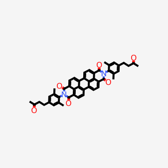 CC(=O)CCc1cc(C)c(N2C(=O)c3ccc4c5ccc6c7c(ccc(c8ccc(c3c48)C2=O)c75)C(=O)N(c2c(C)cc(CCC(C)=O)cc2C)C6=O)c(C)c1